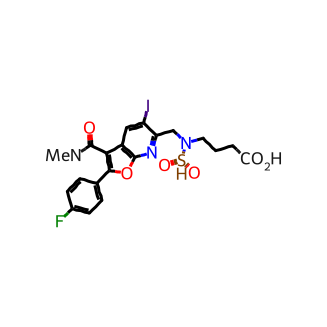 CNC(=O)c1c(-c2ccc(F)cc2)oc2nc(CN(CCCC(=O)O)[SH](=O)=O)c(I)cc12